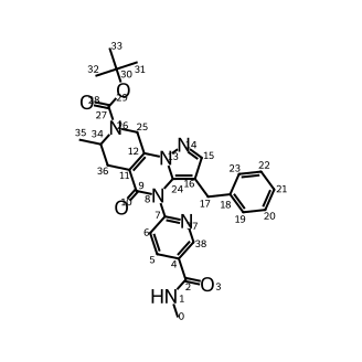 CNC(=O)c1ccc(-n2c(=O)c3c(n4ncc(Cc5ccccc5)c24)CN(C(=O)OC(C)(C)C)C(C)C3)nc1